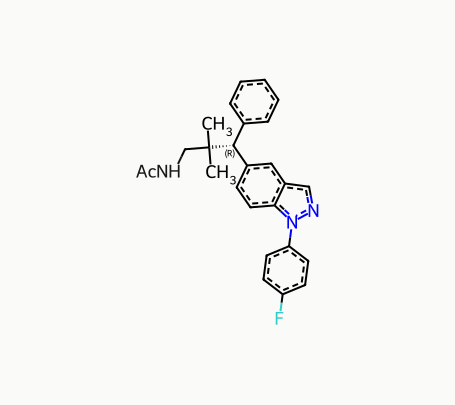 CC(=O)NCC(C)(C)[C@H](c1ccccc1)c1ccc2c(cnn2-c2ccc(F)cc2)c1